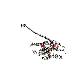 C#CC#CC#CC#CC#CC#CC#CC#CC#CC(C)N1C(=O)c2c(C)sc(-c3cc4c(OCC(CCCC)CCCCCC)c5cc6sc(C)cc6c(OCC(CCCC)CCCCCC)c5cc4s3)c2C1=O